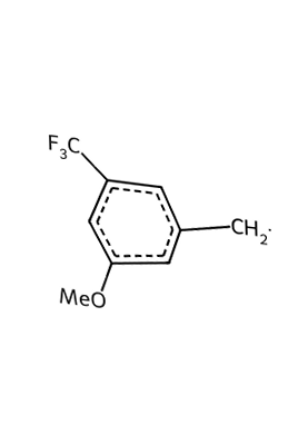 [CH2]c1cc(OC)cc(C(F)(F)F)c1